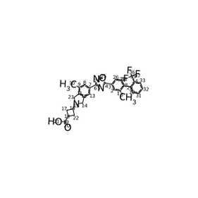 Cc1cc(-c2nc(-c3cc(C)c4c(c3)CN(C3CC(C(=O)O)C3)C4)no2)ccc1-c1ccccc1C(F)(F)F